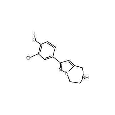 COc1ccc(-c2cc3n(n2)CCNC3)cc1Cl